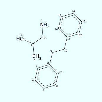 CC(O)CN.c1ccc(CCc2ccccc2)cc1